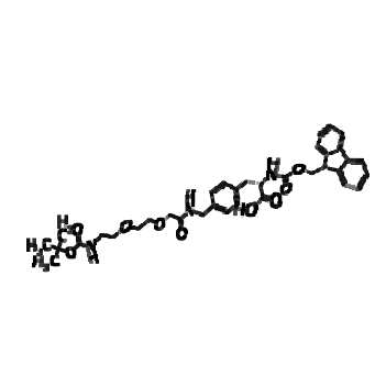 CC(C)(C)OC(=O)NCCOCCOCC(=O)NCc1ccc(C[C@H](NC(=O)OCC2c3ccccc3-c3ccccc32)C(=O)O)cc1